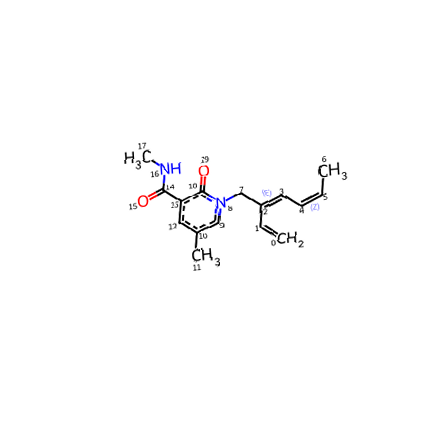 C=C/C(=C\C=C/C)Cn1cc(C)cc(C(=O)NC)c1=O